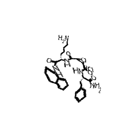 Cl.NCCCC[C@H](NC(=O)C1OC1C(=O)N[C@@H](Cc1ccccc1)C(N)=O)C(=O)Nc1cccc2ccccc12